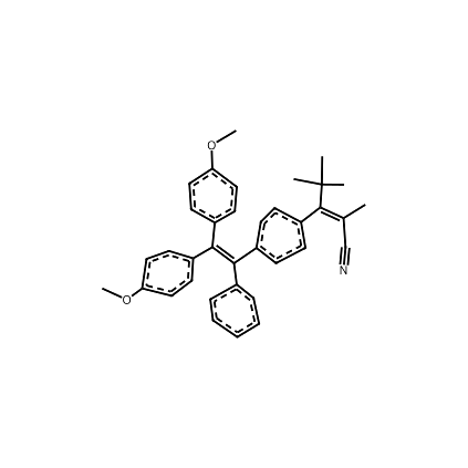 COc1ccc(C(=C(c2ccccc2)c2ccc(/C(=C(/C)C#N)C(C)(C)C)cc2)c2ccc(OC)cc2)cc1